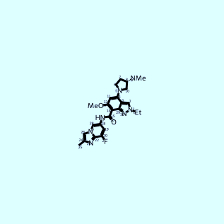 CCn1cc2c(N3CC[C@H](NC)C3)cc(OC)c(C(=O)Nc3cc(F)c4nc(C)cn4c3)c2n1